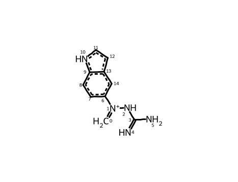 C=[N+](NC(=N)N)c1ccc2[nH]ccc2c1